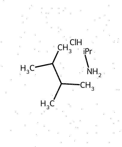 CC(C)C(C)C.CC(C)N.Cl